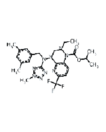 CC[C@@H]1C[C@H](N(Cc2cc(C)cc(C)c2)c2nnn(C)n2)c2nc(C(F)(F)F)ccc2N1C(=O)OC(C)C